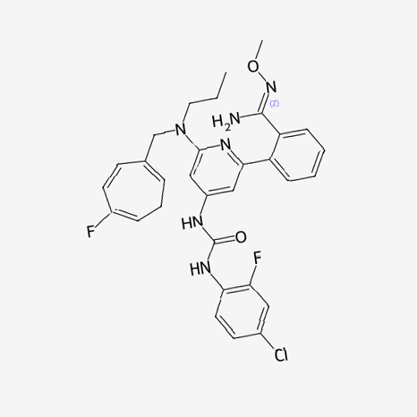 CCCN(CC1=CCC=C(F)C=C1)c1cc(NC(=O)Nc2ccc(Cl)cc2F)cc(-c2ccccc2/C(N)=N/OC)n1